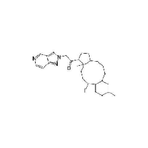 CC1CCC2C(I)CCC3(C)C(CCCC2C1)CCC3C(=O)Cn1cc2cnccc2n1